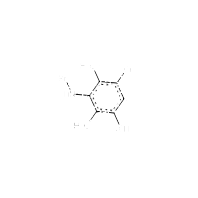 Cc1cc(C)c(C)c(NBr)c1C